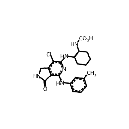 Cc1cccc(Nc2nc(NC3CCCCC3NC(=O)O)c(Cl)c3c2C(=O)NC3)c1